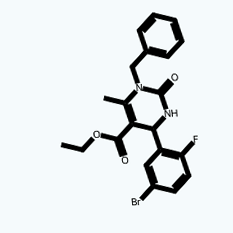 CCOC(=O)C1=C(C)N(Cc2ccccc2)C(=O)NC1c1cc(Br)ccc1F